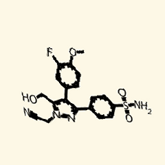 COc1ccc(-c2c(-c3ccc(S(N)(=O)=O)cc3)nn(CC#N)c2CO)cc1F